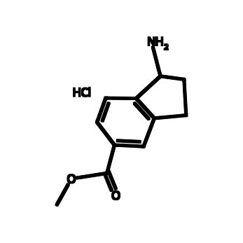 COC(=O)c1ccc2c(c1)CCC2N.Cl